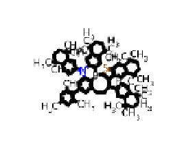 Cc1cc(C)c(-c2cc3c4c(c2)N(c2ccc5c(c2)C(C)(C)CCC5(C)C)c2cc5c(cc2B4c2sc4cc6c(cc4c2C(c2ccc4c(c2)C(C)(C)CCC4(C)C)CC3)C(C)(C)CCC6(C)C)C(C)(C)CCC5(C)C)c(C)c1